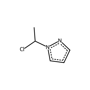 CC(Cl)n1cccn1